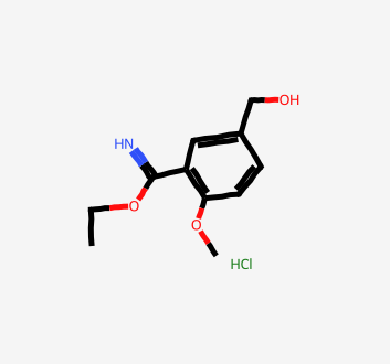 CCOC(=N)c1cc(CO)ccc1OC.Cl